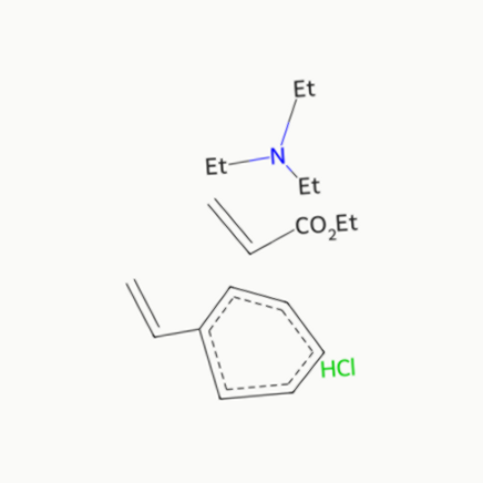 C=CC(=O)OCC.C=Cc1ccccc1.CCN(CC)CC.Cl